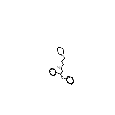 c1ccc(OC(CNCCCN2CCCCC2)c2ccccc2)cc1